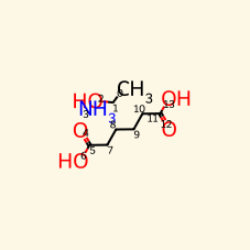 CCO.N.O=C(O)CCCCC(=O)O